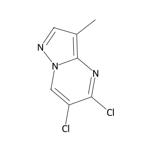 Cc1cnn2cc(Cl)c(Cl)nc12